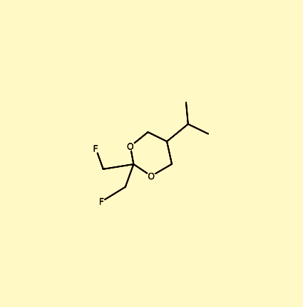 CC(C)C1COC(CF)(CF)OC1